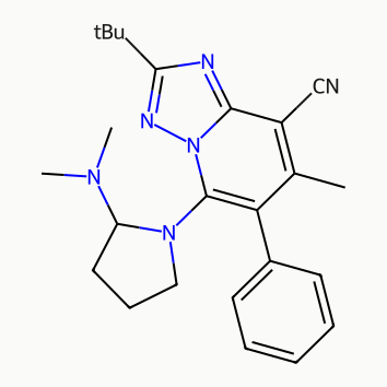 Cc1c(-c2ccccc2)c(N2CCCC2N(C)C)n2nc(C(C)(C)C)nc2c1C#N